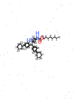 CCCCCCCCOC(=O)N[C@H]1CN[C@@H](C(c2ccc(C3CCCCC3)cc2)c2ccc(C3CCCCC3)cc2)C1